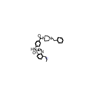 C=Nc1c(/C=C\C)cccc1S(=O)(=O)Nc1ccc(C(=O)N2CCN(CCc3ccccc3)CC2)cc1